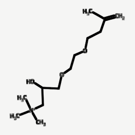 C=C(C)CCOCCOCC(O)C[N+](C)(C)C